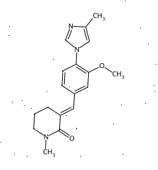 COc1cc(/C=C2\CCCN(C)C2=O)ccc1-n1cnc(C)c1